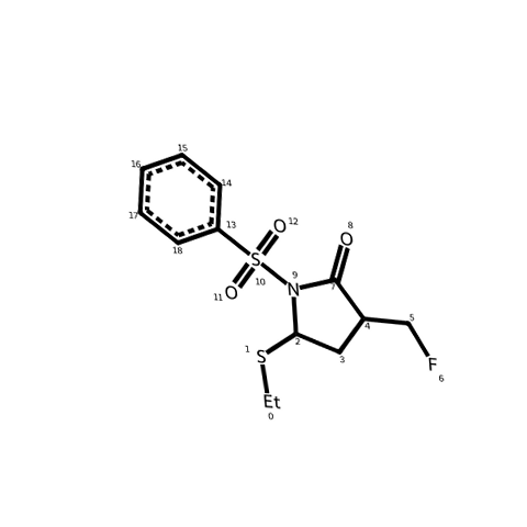 CCSC1CC(CF)C(=O)N1S(=O)(=O)c1ccccc1